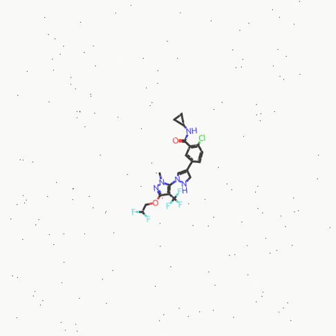 Cn1nc(OCC(F)F)c(C(F)(F)F)c1N1C=C(c2ccc(Cl)c(C(=O)NC3CC3)c2)CN1